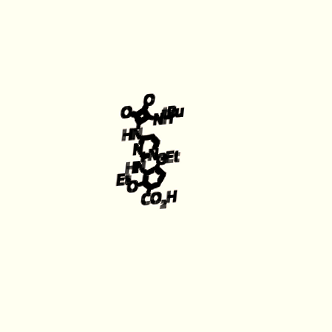 CCOc1ccc(C(=O)O)c(OCC)c1Nc1nccc(Nc2c(NC(C)(C)C)c(=O)c2=O)n1